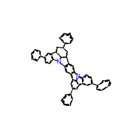 c1ccc(-c2ccc3c(c2)C2CC(c4ccccc4)CC4c5cc6c(cc5N3C24)c2cc(-c3ccccc3)cc3c4cc(-c5ccccc5)ccc4n6c32)cc1